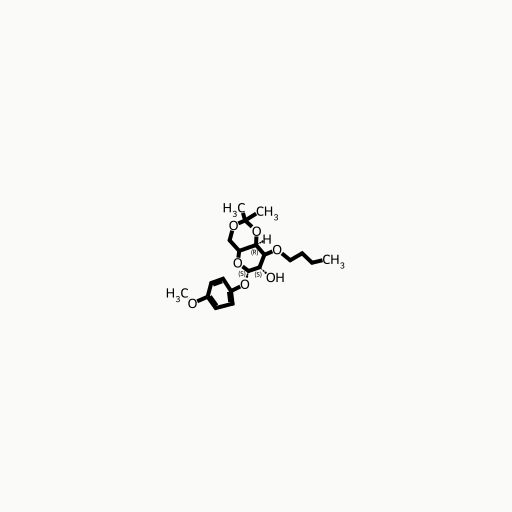 CCCCOC1[C@@H]2OC(C)(C)OCC2O[C@@H](Oc2ccc(OC)cc2)[C@H]1O